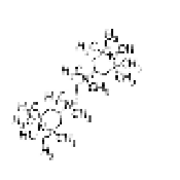 CC1(C)CC([N+](C)(C)CC[N+](C)(C)C2CC(C)(C)N(O)C(C)(C)C2)CC(C)(C)N1O